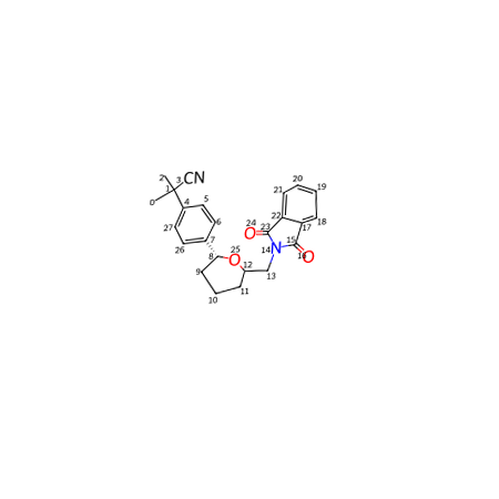 CC(C)(C#N)c1ccc([C@H]2CCCC(CN3C(=O)c4ccccc4C3=O)O2)cc1